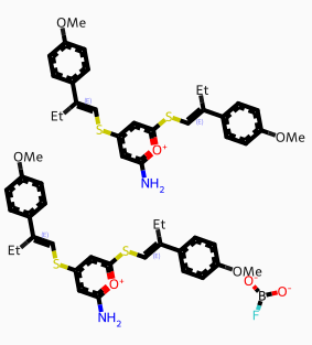 CC/C(=C\Sc1cc(N)[o+]c(S/C=C(\CC)c2ccc(OC)cc2)c1)c1ccc(OC)cc1.CC/C(=C\Sc1cc(N)[o+]c(S/C=C(\CC)c2ccc(OC)cc2)c1)c1ccc(OC)cc1.[O-]B([O-])F